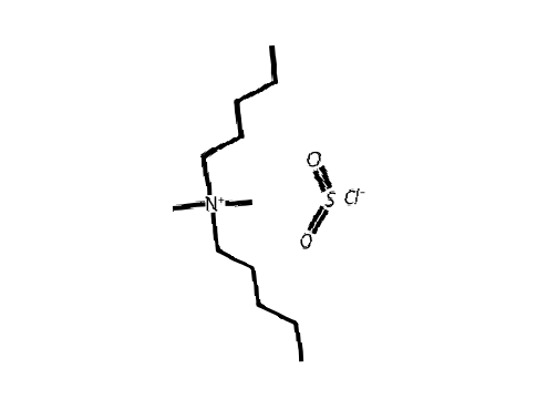 CCCCC[N+](C)(C)CCCCC.O=S=O.[Cl-]